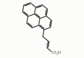 CCOC(=O)/C=C/Cc1ccc2ccc3cccc4ccc1c2c34